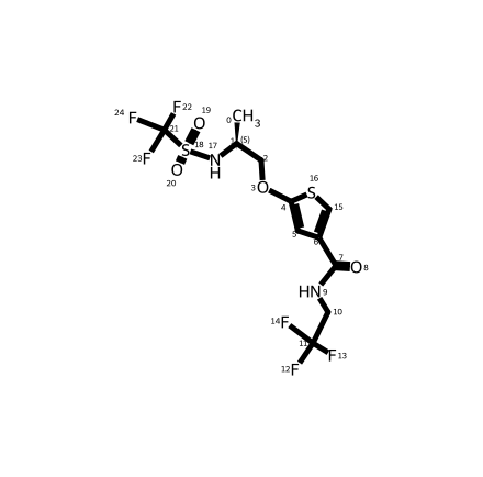 C[C@@H](COc1cc(C(=O)NCC(F)(F)F)cs1)NS(=O)(=O)C(F)(F)F